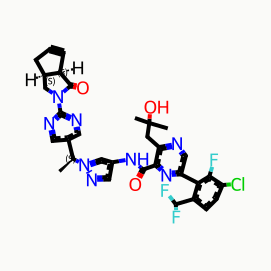 C[C@@H](c1cnc(N2C[C@H]3CC#C[C@H]3C2=O)nc1)n1cc(NC(=O)c2nc(-c3c(C(F)F)ccc(Cl)c3F)cnc2CC(C)(C)O)cn1